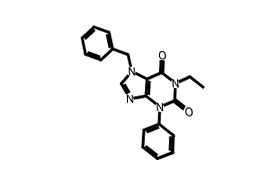 CCn1c(=O)c2c(ncn2Cc2ccccc2)n(-c2ccccc2)c1=O